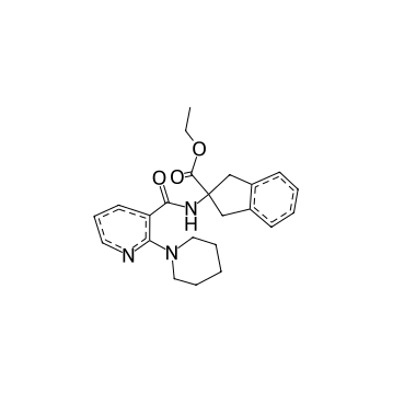 CCOC(=O)C1(NC(=O)c2cccnc2N2CCCCC2)Cc2ccccc2C1